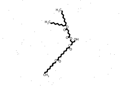 CCCCCCC=CCOC(=O)CCCCCCCC(=O)OCC(CO)COC(=O)CCCC(=O)OC(CCCCCCCC)CCCCCCCC